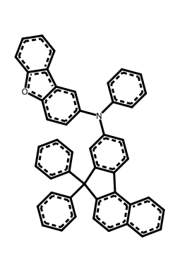 c1ccc(N(c2ccc3c(c2)C(c2ccccc2)(c2ccccc2)c2ccc4ccccc4c2-3)c2ccc3oc4ccccc4c3c2)cc1